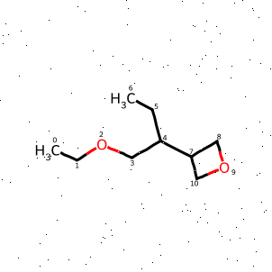 CCOCC(CC)C1COC1